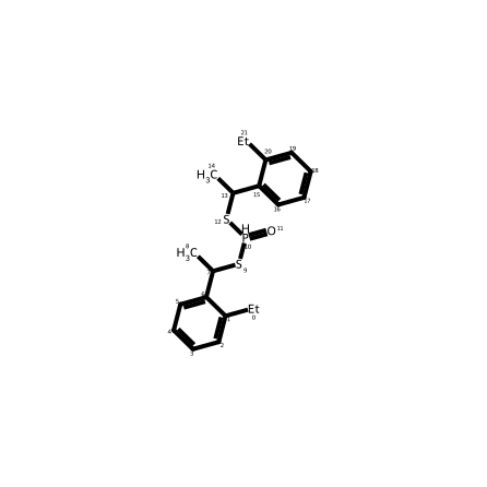 CCc1ccccc1C(C)S[PH](=O)SC(C)c1ccccc1CC